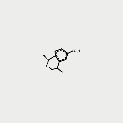 C[C@@H]1OCC(F)c2cc(C(=O)O)ccc21